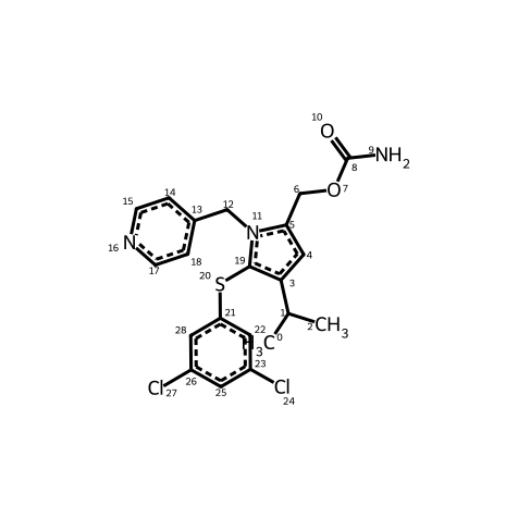 CC(C)c1cc(COC(N)=O)n(Cc2ccncc2)c1Sc1cc(Cl)cc(Cl)c1